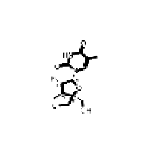 Cc1cn([C@@H]2O[C@@](CO)(CCl)[C@@H](C)[C@@H]2F)c(=O)[nH]c1=O